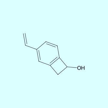 C=Cc1ccc2c(c1)CC2O